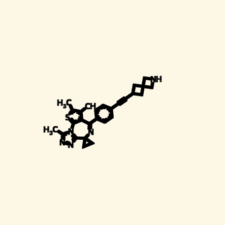 Cc1sc2c(c1C)C(c1ccc(C#CC3CC4(CNC4)C3)cc1)=NC1(CC1)c1nnc(C)n1-2